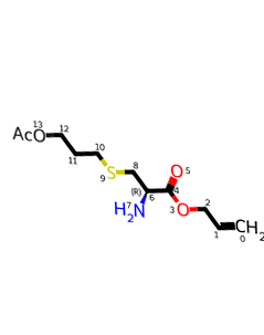 C=CCOC(=O)[C@@H](N)CSCCCOC(C)=O